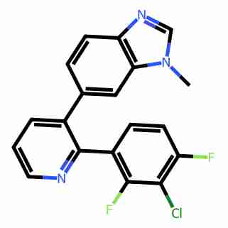 Cn1cnc2ccc(-c3cccnc3-c3ccc(F)c(Cl)c3F)cc21